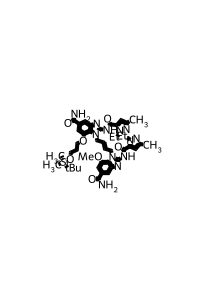 CCn1nc(C)cc1C(=O)Nc1nc2cc(C(N)=O)cc(OC)c2n1C/C=C/Cn1c(NC(=O)c2cc(C)nn2CC)nc2cc(C(N)=O)cc(OCCCO[Si](C)(C)C(C)(C)C)c21